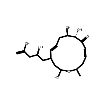 C=C(O)CC(O)CC1/C=C/CC(O)[C@H](O)C(=O)/C=C\CC(C)OC(O)C1